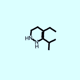 CCC1=C(C(C)C)NNCC1